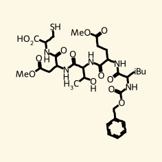 CCC(C)C(NC(=O)OCc1ccccc1)C(=O)NC(CCC(=O)OC)C(=O)NC(C(=O)NC(CC(=O)OC)C(=O)NC(CS)C(=O)O)C(C)O